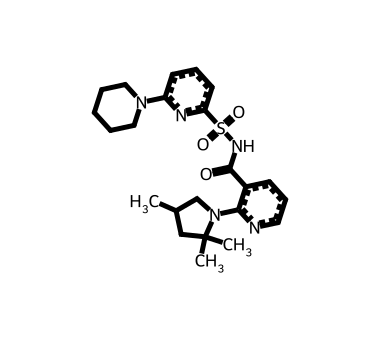 CC1CN(c2ncccc2C(=O)NS(=O)(=O)c2cccc(N3CCCCC3)n2)C(C)(C)C1